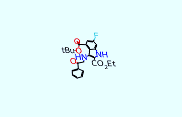 CCOC(=O)c1[nH]c2cc(F)cc(C(=O)OC(C)(C)C)c2c1NCC(=O)c1ccccc1